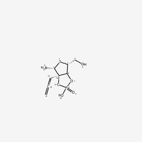 B[C@@H]1O[C@H](CO)C2OP(=O)(O)O[C@]21C=C=C